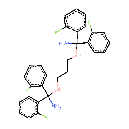 NC(BCCCBC(N)(c1ccccc1F)c1ccccc1F)(c1ccccc1F)c1ccccc1F